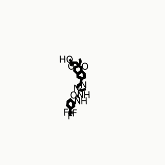 CCC1(CC(=O)O)CCc2cc(-c3cnc(NC(=O)Nc4cccc(C(F)(F)F)c4)cn3)ccc2C1=O